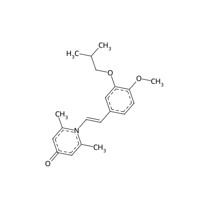 COc1ccc(C=Cn2c(C)cc(=O)cc2C)cc1OCC(C)C